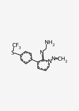 C=Nn1cccc(-c2ccc(SC(F)(F)F)cc2)/c1=N/CN